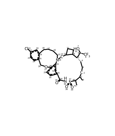 CC1CCC[C@@H]([C@@H](O)C(F)(F)F)C2CCC2CN2CCCCc3cc(Cl)ccc3COc3ccc(cc32)C(=O)NS(=O)(=O)C1C